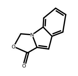 O=C1OCn2c1cc1ccccc12